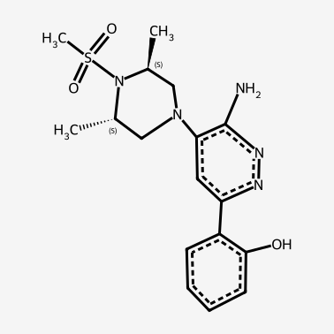 C[C@H]1CN(c2cc(-c3ccccc3O)nnc2N)C[C@H](C)N1S(C)(=O)=O